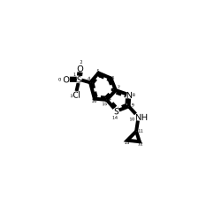 O=S(=O)(Cl)c1ccc2nc(NC3CC3)sc2c1